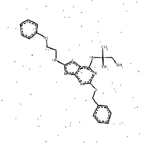 CC(C)(CO)Nc1nc(SCc2ccccc2)nc2nc(NCCOc3ccccc3)sc12